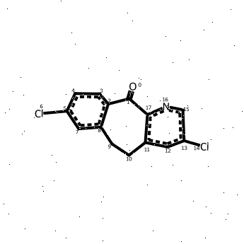 O=C1c2ccc(Cl)cc2CCc2cc(Cl)cnc21